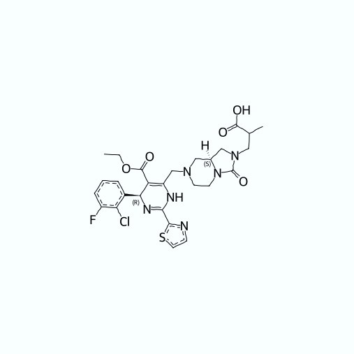 CCOC(=O)C1=C(CN2CCN3C(=O)N(CC(C)C(=O)O)C[C@@H]3C2)NC(c2nccs2)=N[C@H]1c1cccc(F)c1Cl